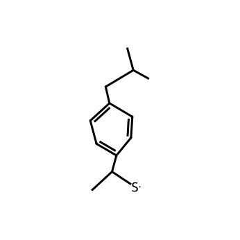 CC(C)Cc1ccc(C(C)[S])cc1